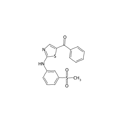 CS(=O)(=O)c1cccc(Nc2ncc(C(=O)c3ccccc3)s2)c1